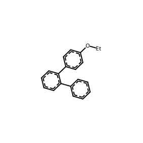 CCOc1ccc(-c2ccccc2-c2ccccc2)cc1